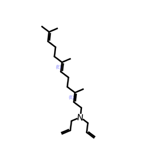 C=CCN(CC=C)C/C=C(\C)CC/C=C(\C)CCC=C(C)C